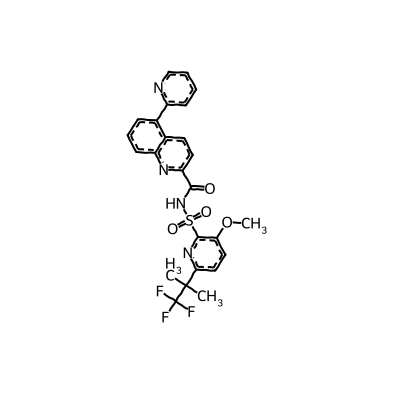 COc1ccc(C(C)(C)C(F)(F)F)nc1S(=O)(=O)NC(=O)c1ccc2c(-c3ccccn3)cccc2n1